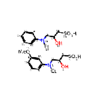 CCN(CC(O)CS(=O)(=O)O)c1cccc(OC)c1.CCN(CC(O)CS(=O)(=O)O)c1ccccc1